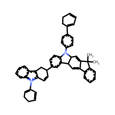 CC1(C)C2=CC3C(C=C2c2ccccc21)c1cc(C2C=Cc4c(c5ccccc5n4C4=CCCC=C4)C2)ccc1N3c1ccc(C2=CC=CCC2)cc1